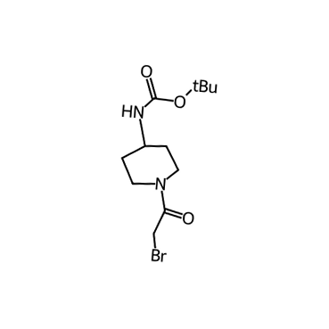 CC(C)(C)OC(=O)NC1CCN(C(=O)CBr)CC1